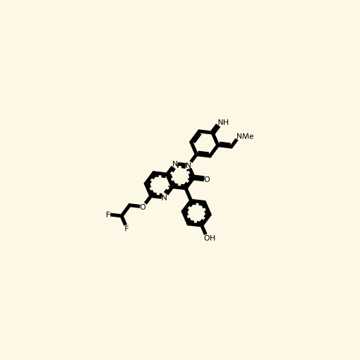 CN/C=C1/C=C(n2nc3ccc(OCC(F)F)nc3c(-c3ccc(O)cc3)c2=O)C=CC1=N